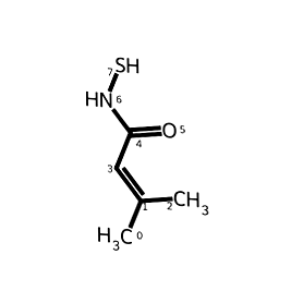 CC(C)=CC(=O)NS